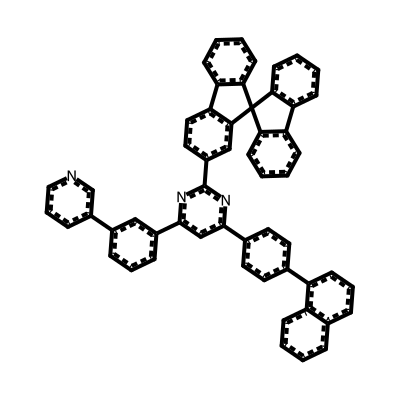 c1cncc(-c2cccc(-c3cc(-c4ccc(-c5cccc6ccccc56)cc4)nc(-c4ccc5c(c4)C4(c6ccccc6-c6ccccc64)c4ccccc4-5)n3)c2)c1